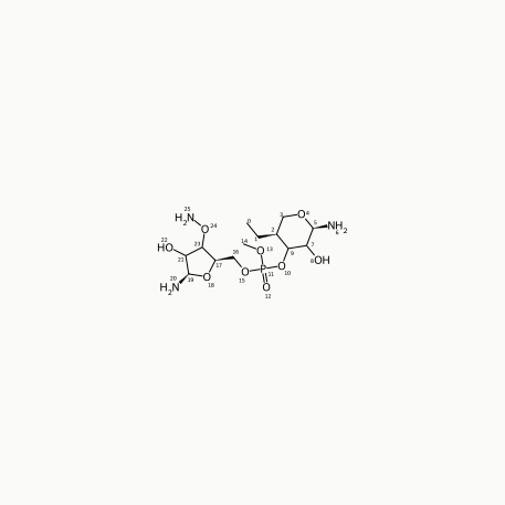 CC[C@H]1CO[C@@H](N)C(O)C1OP(=O)(OC)OC[C@H]1O[C@@H](N)C(O)C1ON